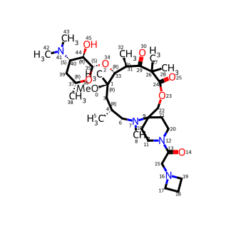 CO[C@]1(C)C[C@@H](C)CN(C)C2(CCN(C(=O)CN3CCC3)CC2)COC(=O)C(C)(C)C(=O)[C@H](C)[C@H]1O[C@@H]1O[C@H](C)C[C@H](N(C)C)[C@H]1O